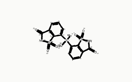 CC(C)(C)[Si](c1cccc2c1S(=O)(=O)NC2=O)(c1cccc2c1S(=O)(=O)NC2=O)C(C)(C)C